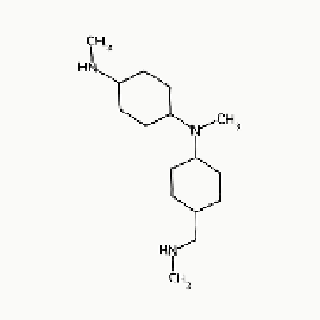 CNCC1CCC(N(C)C2CCC(NC)CC2)CC1